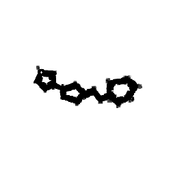 [C]1=C(c2ccoc2)C=CC1=CCc1ccccc1